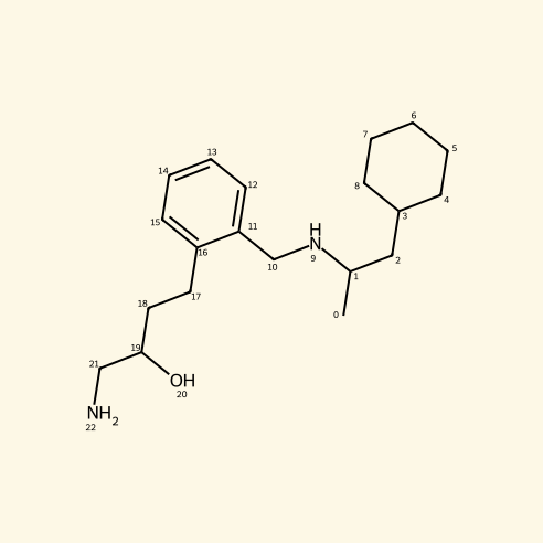 CC(CC1CCCCC1)NCc1ccccc1CCC(O)CN